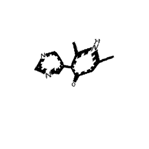 Cc1cc(=O)c(-c2cncnc2)c(C)[nH]1